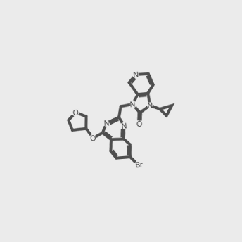 O=c1n(Cc2nc(OC3CCOC3)c3ccc(Br)cc3n2)c2cnccc2n1C1CC1